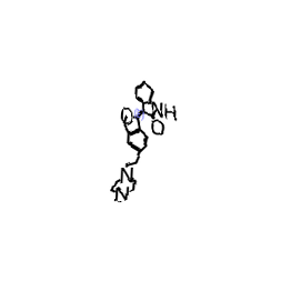 CN1CCN(CCc2ccc3c(c2)CO/C3=C2/C(=O)Nc3ccccc32)CC1